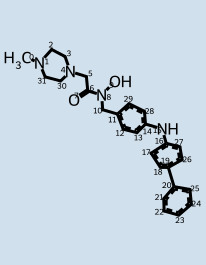 CN1CCN(CC(=O)N(O)Cc2ccc(Nc3ccc(-c4ccccc4)cc3)cc2)CC1